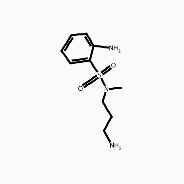 CN(CCCN)S(=O)(=O)c1ccccc1N